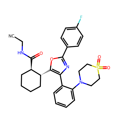 N#CCNC(=O)[C@@H]1CCCC[C@H]1c1oc(-c2ccc(F)cc2)nc1-c1ccccc1N1CCS(=O)(=O)CC1